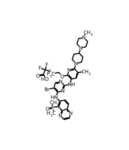 Cc1cc(Nc2ncc(Br)c(Nc3ccc4nccnc4c3P(C)(C)=O)n2)c(OCC(F)(F)F)nc1N1CCC(N2CCN(C)CC2)CC1.O=C(O)C(F)(F)F